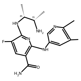 Cc1cc(Nc2nc(N[C@H](C)[C@H](C)N)c(F)cc2C(N)=O)cnc1C